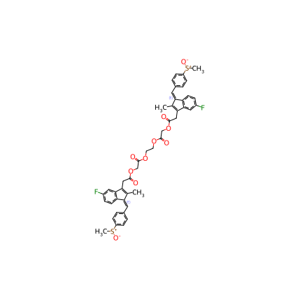 CC1=C(CC(=O)OCC(=O)OCCOC(=O)COC(=O)CC2=C(C)/C(=C/c3ccc([S+](C)[O-])cc3)c3ccc(F)cc32)c2cc(F)ccc2/C1=C\c1ccc([S+](C)[O-])cc1